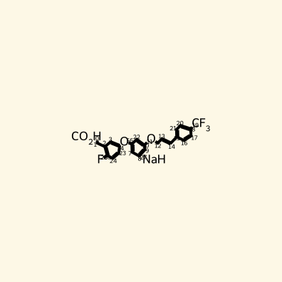 O=C(O)Cc1cc(Oc2cccc(OCC=Cc3ccc(C(F)(F)F)cc3)c2)ccc1F.[NaH]